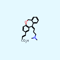 CN(C)CCC=C1c2ccccc2COc2ccc(C=CC(=O)O)cc21